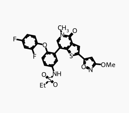 CCS(=O)(=O)Nc1ccc(Oc2ccc(F)cc2F)c(-c2cn(C)c(=O)c3cc(-c4cc(OC)no4)sc23)c1